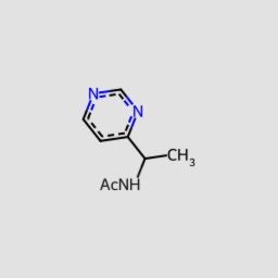 CC(=O)NC(C)c1ccncn1